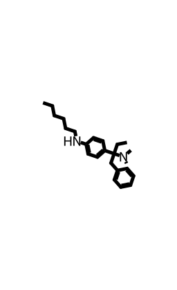 CCCCCCNc1ccc(C(CC)(Cc2ccccc2)N(C)C)cc1